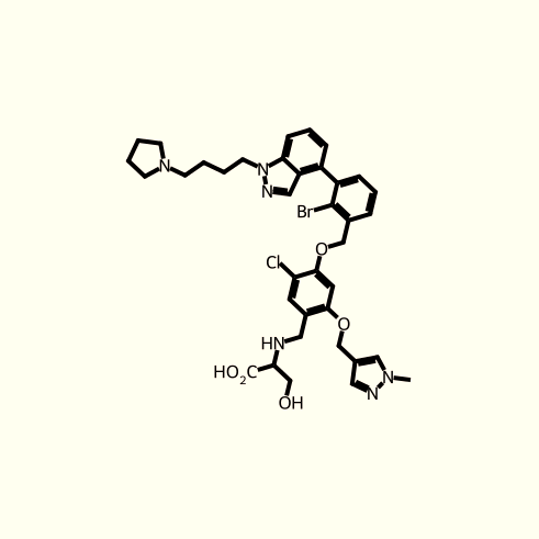 Cn1cc(COc2cc(OCc3cccc(-c4cccc5c4cnn5CCCCN4CCCC4)c3Br)c(Cl)cc2CNC(CO)C(=O)O)cn1